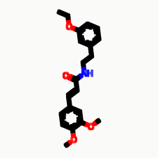 CCOc1cccc(CCNC(=O)C=Cc2ccc(OC)c(OC)c2)c1